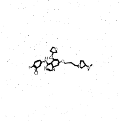 CN(C)C1CCN(CCCOc2cc(OC3CCOC3)c3c(Nc4ccc(F)c(Cl)c4)ncnc3c2)C1